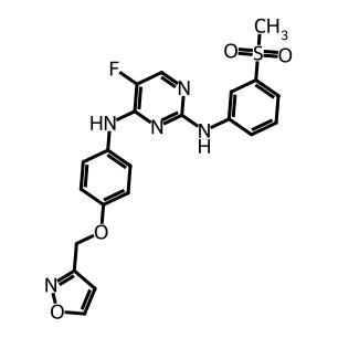 CS(=O)(=O)c1cccc(Nc2ncc(F)c(Nc3ccc(OCc4ccon4)cc3)n2)c1